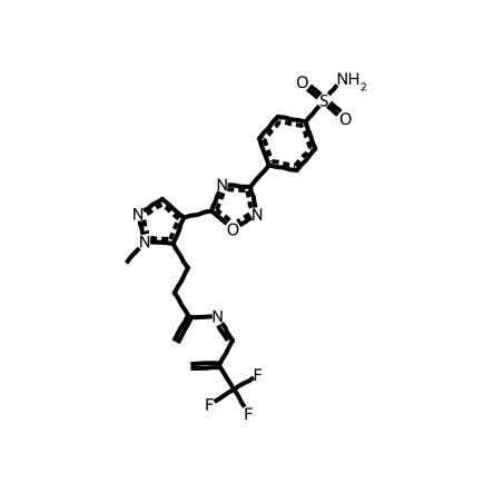 C=C(CCc1c(-c2nc(-c3ccc(S(N)(=O)=O)cc3)no2)cnn1C)/N=C\C(=C)C(F)(F)F